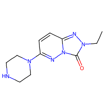 CCn1nc2ccc(N3CCNCC3)nn2c1=O